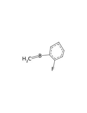 C=Bc1ccccc1F